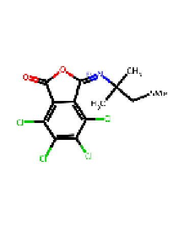 CSCC(C)(C)/N=C1/OC(=O)c2c(Cl)c(Cl)c(Cl)c(Cl)c21